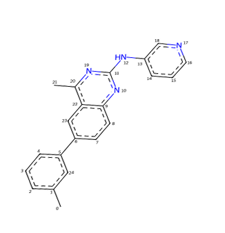 Cc1cccc(-c2ccc3nc(Nc4cccnc4)nc(C)c3c2)c1